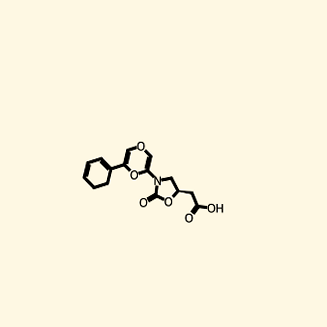 O=C(O)C[C@@H]1CN(C2=COC=C(C3=CC=CCC3)O2)C(=O)O1